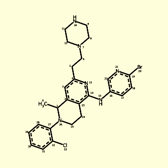 CC1c2cc(CCN3CCNCC3)nc(Nc3ccc(Br)nc3)c2CCN1c1ccccc1Cl